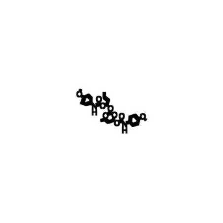 CC=CC(OC(=O)Nc1ccc(OC)cc1)OC(=O)OC(C=CC)OC(=O)Nc1ccc(OC)cc1